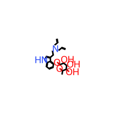 C=CCN(CC=C)CCc1c[nH]c2cccc(OC3OC(C)C(O)C(O)C3O)c12